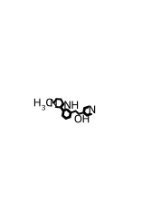 CN1CCc2[nH]c3c(CC(O)c4ccncc4)cccc3c2C1